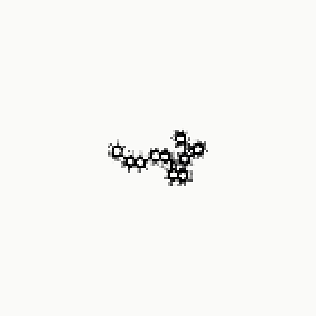 c1ccc(-c2ccc3ccc(-c4ccc5ccc(N(c6ccc7c8ccccc8n(-c8ccccc8)c7c6)c6cccc7ccccc67)cc5c4)cc3c2)cc1